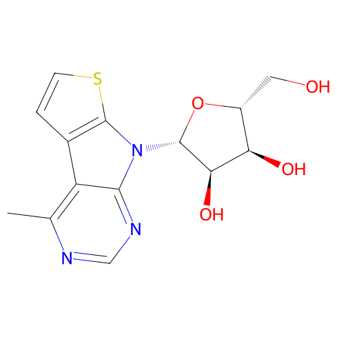 Cc1ncnc2c1c1ccsc1n2[C@@H]1O[C@H](CO)[C@@H](O)[C@H]1O